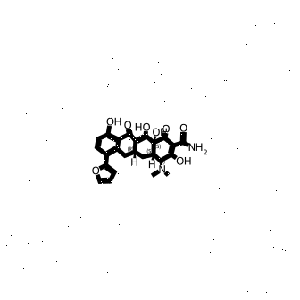 CN(C)[C@@H]1C(O)=C(C(N)=O)C(=O)[C@@]2(O)C(O)=C3C(=O)c4c(O)ccc(-c5ccco5)c4C[C@H]3C[C@@H]12